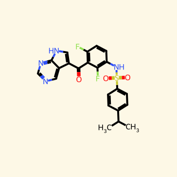 CC(C)c1ccc(S(=O)(=O)Nc2ccc(F)c(C(=O)c3c[nH]c4ncncc34)c2F)cc1